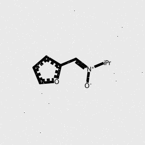 CC(C)[N+]([O-])=Cc1ccco1